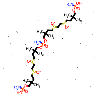 CC(C)(CC[S+]([O-])CC[S+]([O-])CCC(C)(C)COP(N)(=O)OCC(C)(C)CC[S+]([O-])CC[S+]([O-])CCC(C)(C)COP(N)(=O)O)COP(N)(=O)O